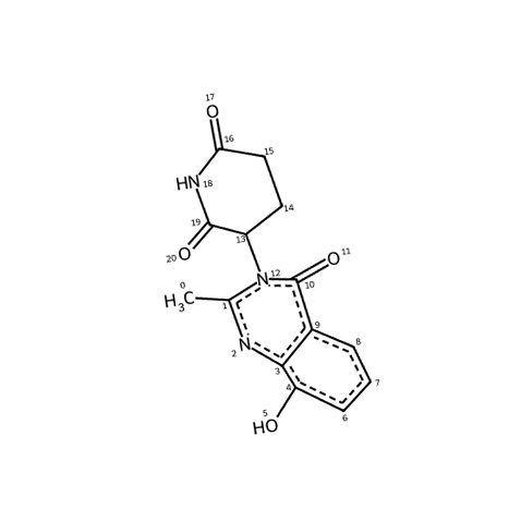 Cc1nc2c(O)cccc2c(=O)n1C1CCC(=O)NC1=O